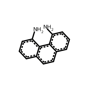 Nc1cccc2ccc3cccc(N)c3c12